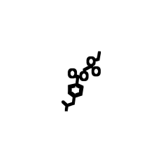 CCOC(=O)COC(=O)c1ccc(CC(C)C)cc1